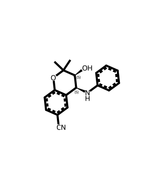 CC1(C)Oc2ccc(C#N)cc2[C@H](Nc2ccccc2)[C@@H]1O